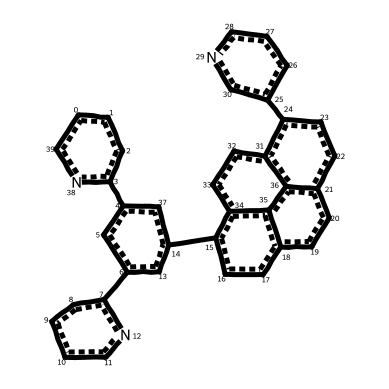 c1ccc(-c2cc(-c3ccccn3)cc(-c3ccc4ccc5ccc(-c6cccnc6)c6ccc3c4c56)c2)nc1